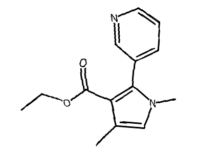 CCOC(=O)c1c(C)cn(C)c1-c1cccnc1